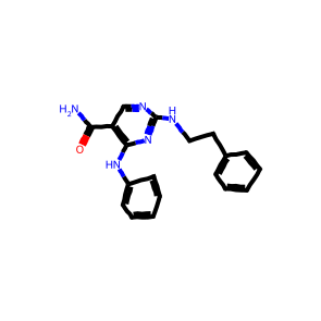 NC(=O)c1cnc(NCCc2ccccc2)nc1Nc1ccccc1